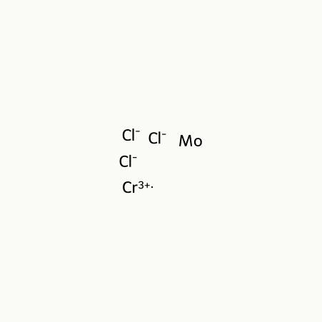 [Cl-].[Cl-].[Cl-].[Cr+3].[Mo]